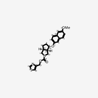 COc1ccc2cc(O[C@H]3CC[C@@H]4CN(C(=O)OCc5cscn5)C[C@@H]43)ccc2c1